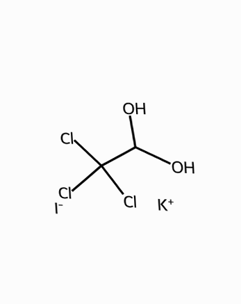 OC(O)C(Cl)(Cl)Cl.[I-].[K+]